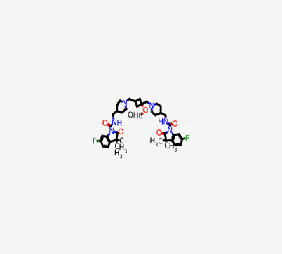 CC1(C)C(=O)N(C(=O)NCC2CCN(CC3CC(CN4CCC(CNC(=O)N5C(=O)C(C)(C)c6ccc(F)cc65)CC4)(OC=O)C3)CC2)c2cc(F)ccc21